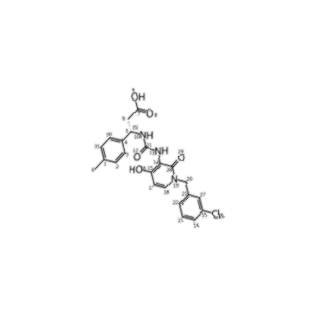 Cc1ccc([C@H](CC(=O)O)NC(=O)Nc2c(O)ccn(Cc3cccc(Cl)c3)c2=O)cc1